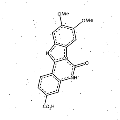 COc1cc2nc3c4ccc(C(=O)O)cc4[nH]c(=O)n3c2cc1OC